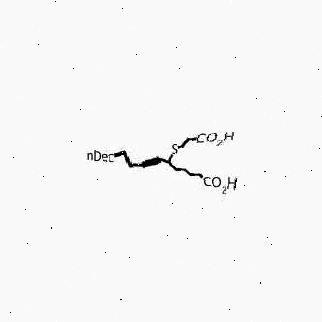 CCCCCCCCCCCCC#CC(CCCCC(=O)O)SCCC(=O)O